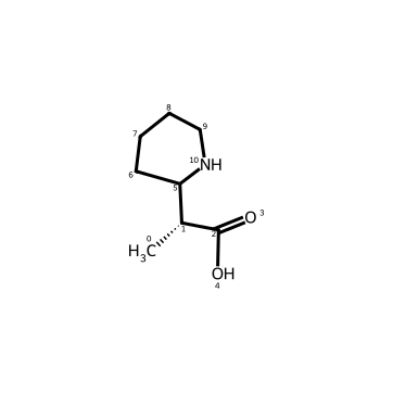 C[C@@H](C(=O)O)C1CCCCN1